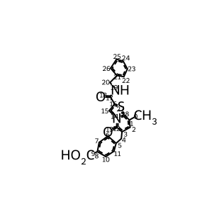 Cc1cc(Cc2ccc(C(=O)O)cc2)c(=O)n2cc(C(=O)NCc3ccccc3)sc12